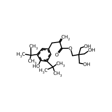 C=C(Cc1cc(C(C)(C)C)c(O)c(C(C)(C)C)c1)C(=O)OCC(CO)(CO)CO